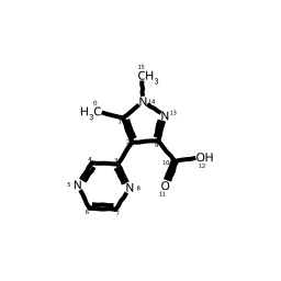 Cc1c(-c2cnccn2)c(C(=O)O)nn1C